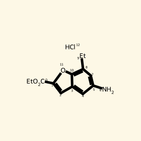 CCOC(=O)c1cc2cc(N)cc(CC)c2o1.Cl